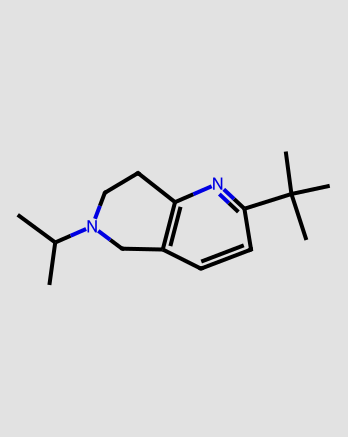 CC(C)N1CCc2nc(C(C)(C)C)ccc2C1